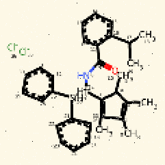 CC1=C(C)C(C)[C]([Hf+2]([NH]C(=O)c2ccccc2C(C)C)[SiH](c2ccccc2)c2ccccc2)=C1C.[Cl-].[Cl-]